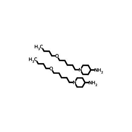 CCCCOCCCCCN1CCC(N)CC1.CCCCOCCCCCN1CCC(N)CC1